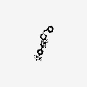 CS(=O)(=O)c1ccc(-c2cn3c4c(sc3n2)CN(Cc2ccccc2)CC4)cc1